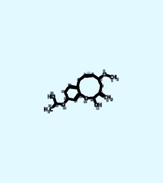 C=C1CC(OC)/C=C\CC2=CCC(OC(C)O)C=C2OC1O